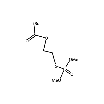 COP(=O)(OC)SCCOC(=O)C(C)(C)C